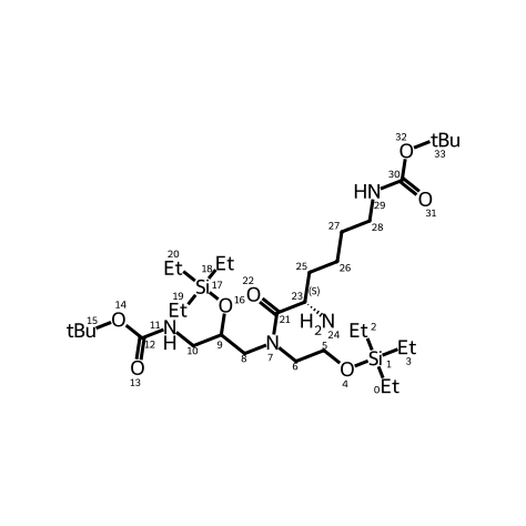 CC[Si](CC)(CC)OCCN(CC(CNC(=O)OC(C)(C)C)O[Si](CC)(CC)CC)C(=O)[C@@H](N)CCCCNC(=O)OC(C)(C)C